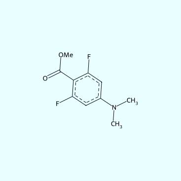 COC(=O)c1c(F)cc(N(C)C)cc1F